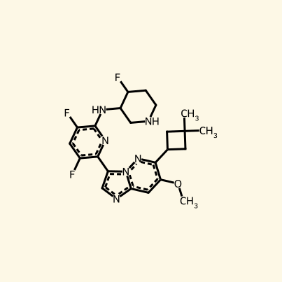 COc1cc2ncc(-c3nc(NC4CNCCC4F)c(F)cc3F)n2nc1C1CC(C)(C)C1